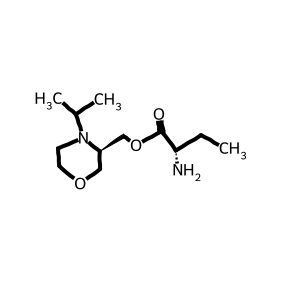 CC[C@H](N)C(=O)OC[C@H]1COCCN1C(C)C